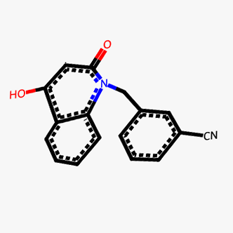 N#Cc1cccc(Cn2c(=O)[c]c(O)c3ccccc32)c1